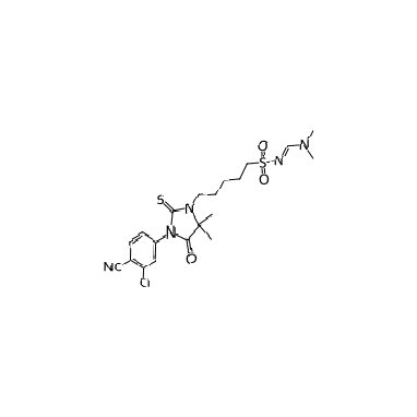 CN(C)/C=N/S(=O)(=O)CCCCCN1C(=S)N(c2ccc(C#N)c(Cl)c2)C(=O)C1(C)C